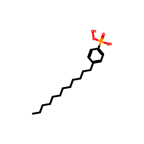 CCCCCCCCCCCCc1ccc(P(=O)(O)OO)cc1